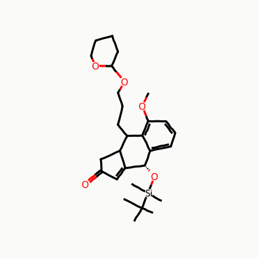 COc1cccc2c1C(CCCOC1CCCCO1)C1CC(=O)C=C1[C@H]2O[Si](C)(C)C(C)(C)C